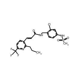 CCCc1nc(C(F)(F)F)ccc1C=CC(=O)NCc1ccc(NS(C)(=O)=O)cc1Cl